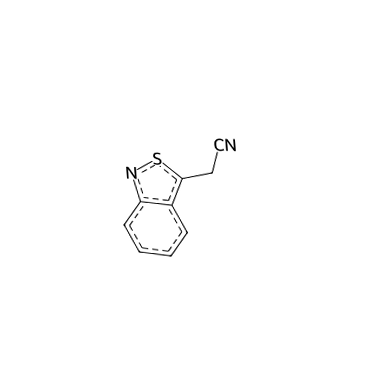 N#CCc1snc2ccccc12